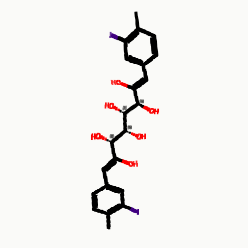 Cc1ccc(C=C(O)[C@@H](O)[C@@H](O)[C@H](O)[C@@H](O)C(O)=Cc2ccc(C)c(I)c2)cc1I